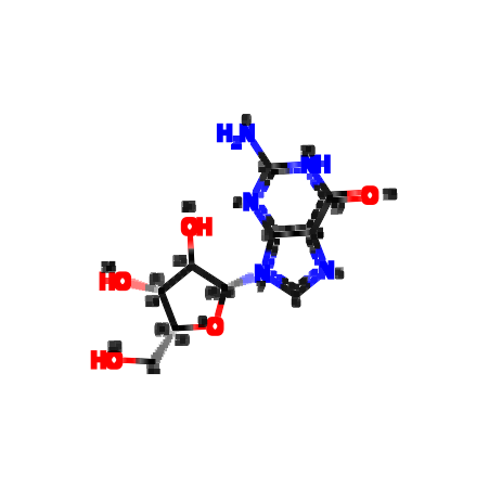 Nc1nc2c(ncn2[C@@H]2O[C@H](CO)[C@H](O)C2O)c(=O)[nH]1